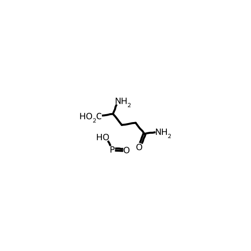 NC(=O)CCC(N)C(=O)O.O=PO